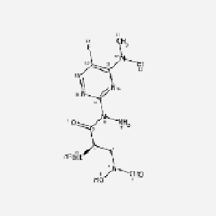 CCCCC[C@H](CN(O)C=O)C(=O)N(N)c1ncc(F)c(N(C)CC)n1